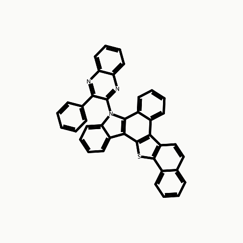 c1ccc(-c2nc3ccccc3nc2-n2c3ccccc3c3c4sc5c6ccccc6ccc5c4c4ccccc4c32)cc1